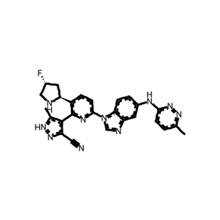 Cc1ccc(Nc2ccc3c(c2)ncn3-c2ccc([C@@H]3C[C@@H](F)CN3)c(-c3c(C#N)n[nH]c3C)n2)nn1